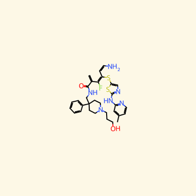 C=C(C(=O)NCC1(c2ccccc2)CCN(CCCO)CC1)/C(F)=C(\C=C/N)Sc1cnc(Nc2cc(C)ccn2)s1